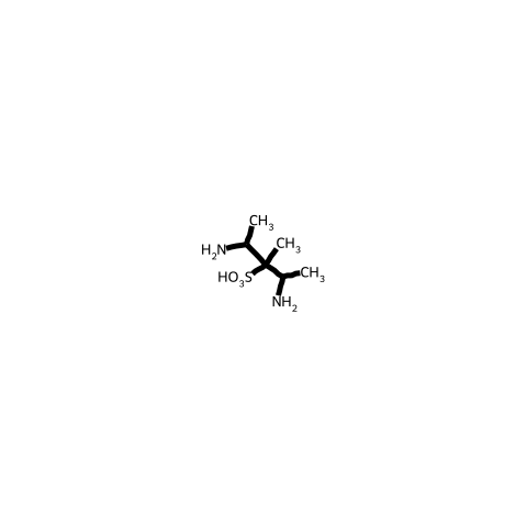 CC(N)C(C)(C(C)N)S(=O)(=O)O